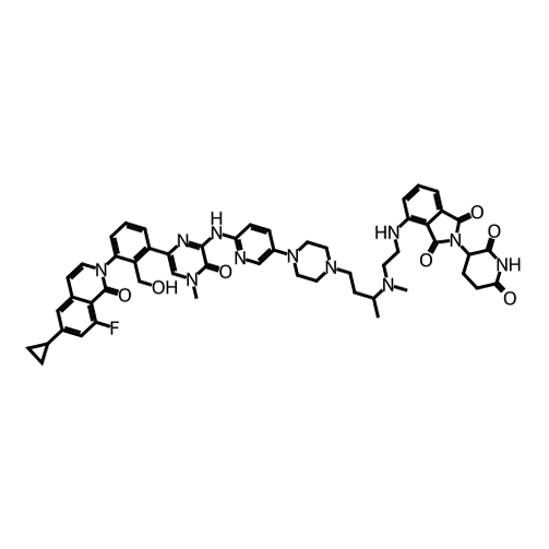 CC(CCN1CCN(c2ccc(Nc3nc(-c4cccc(-n5ccc6cc(C7CC7)cc(F)c6c5=O)c4CO)cn(C)c3=O)nc2)CC1)N(C)CCNc1cccc2c1C(=O)N(C1CCC(=O)NC1=O)C2=O